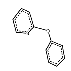 b1ccccc1Oc1ccccc1